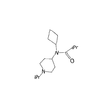 CC(C)C(=O)N(C1CCC1)C1CCN(C(C)C)CC1